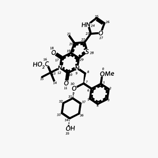 COc1ccccc1[C@H](Cn1c(=O)n(C(C)(C)C(=O)O)c(=O)c2c(C)c(C3NC=CO3)sc21)O[C@H]1CC[C@@H](O)CC1